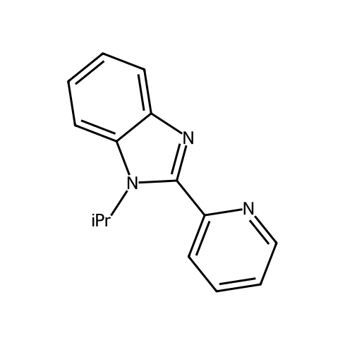 CC(C)n1c(-c2ccccn2)nc2ccccc21